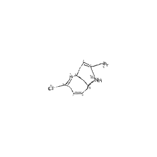 CC(C)C1=CC2N=C(Cl)C=CC2N1